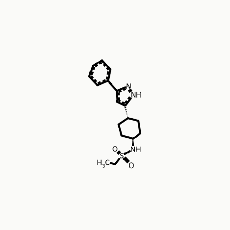 CCS(=O)(=O)N[C@H]1CC[C@H](c2cc(-c3ccccc3)n[nH]2)CC1